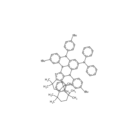 CC(C)(C)c1ccc(N2c3ccc(C(C)(C)C)cc3B3c4sc5c(c4N(c4ccc(C(C)(C)C)cc4-c4cccc6c4C(C)(C)CCC6(C)C)c4cc(N(c6ccccc6)c6ccccc6)cc2c43)C(C)(C)CCC5(C)C)cc1